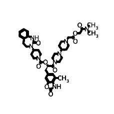 Cc1cc(C[C@@H](OC(=O)N2CCC(N3CCc4ccccc4NC3=O)CC2)C(=O)N2CCN(C3CCN(CC(=O)OCC(=O)N(C)C)CC3)CC2)cc2oc(=O)[nH]c12